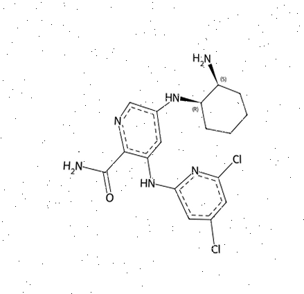 NC(=O)c1ncc(N[C@@H]2CCCC[C@@H]2N)cc1Nc1cc(Cl)cc(Cl)n1